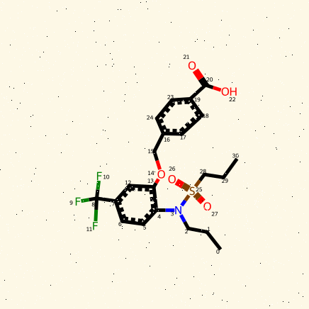 CCCN(c1ccc(C(F)(F)F)cc1OCc1ccc(C(=O)O)cc1)S(=O)(=O)CCC